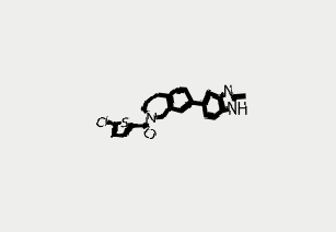 Cc1nc2cc(-c3ccc4c(c3)CN(C(=O)c3ccc(Cl)s3)CCC4)ccc2[nH]1